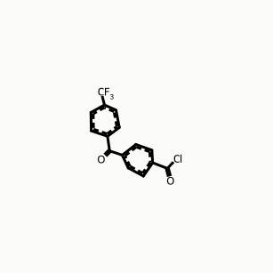 O=C(Cl)c1ccc(C(=O)c2ccc(C(F)(F)F)cc2)cc1